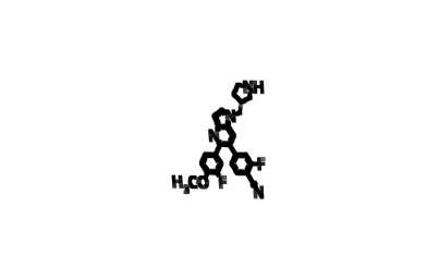 COc1ccc(-c2nc3ccn(C[C@H]4CCNC4)c3cc2-c2ccc(C#N)c(F)c2)cc1F